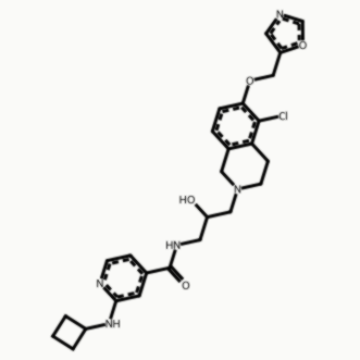 O=C(NCC(O)CN1CCc2c(ccc(OCc3cnco3)c2Cl)C1)c1ccnc(NC2CCC2)c1